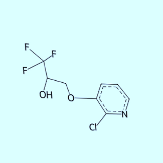 OC(COc1cccnc1Cl)C(F)(F)F